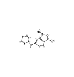 N#CC1OB(O)c2cc(Oc3ccccc3)ccc21